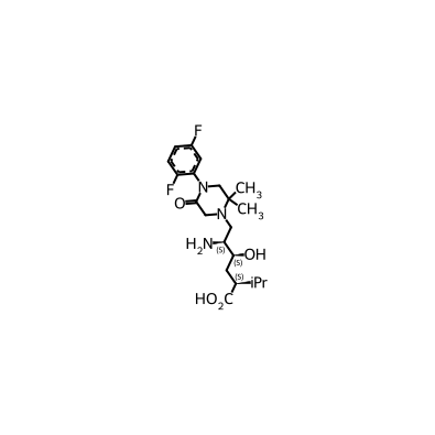 CC(C)[C@H](C[C@H](O)[C@@H](N)CN1CC(=O)N(c2cc(F)ccc2F)CC1(C)C)C(=O)O